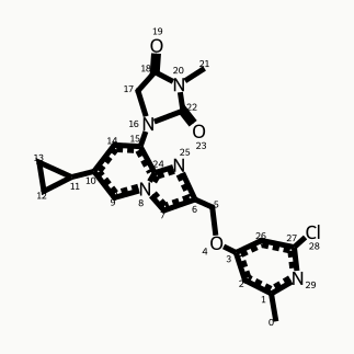 Cc1cc(OCc2cn3cc(C4CC4)cc(N4CC(=O)N(C)C4=O)c3n2)cc(Cl)n1